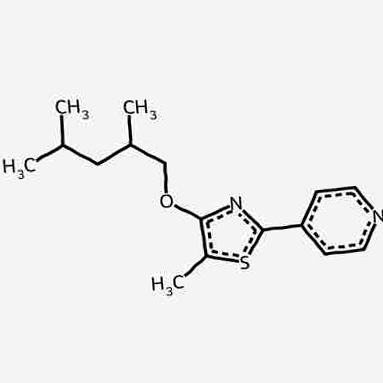 Cc1sc(-c2ccncc2)nc1OCC(C)CC(C)C